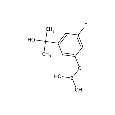 CC(C)(O)c1cc(F)cc(OB(O)O)c1